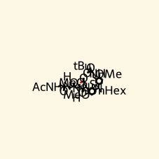 CCCCCCN1c2ccc(OC)c(CNC(=O)OC(C)(C)C)c2Sc2c1ccc(OC)c2N(CC(=O)OC)C(=O)[C@H](C)NC(=O)CNC(=O)CNC(C)=O